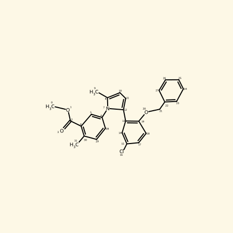 COC(=O)c1cc(-n2c(C)ccc2-c2cc(Cl)ccc2OCc2ccccc2)ccc1C